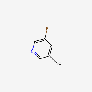 [C-]#[N+]c1cncc(Br)c1